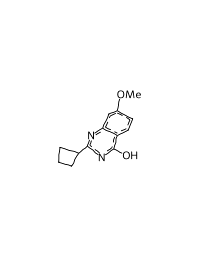 COc1ccc2c(O)nc(C3CCC3)nc2c1